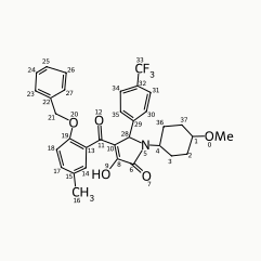 COC1CCC(N2C(=O)C(O)=C(C(=O)c3cc(C)ccc3OCc3ccccc3)C2c2ccc(C(F)(F)F)cc2)CC1